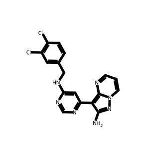 Nc1nn2cccnc2c1-c1cc(NCc2ccc(Cl)c(Cl)c2)ncn1